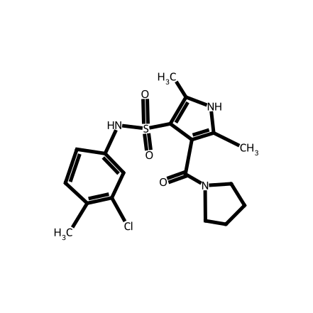 Cc1ccc(NS(=O)(=O)c2c(C)[nH]c(C)c2C(=O)N2CCCC2)cc1Cl